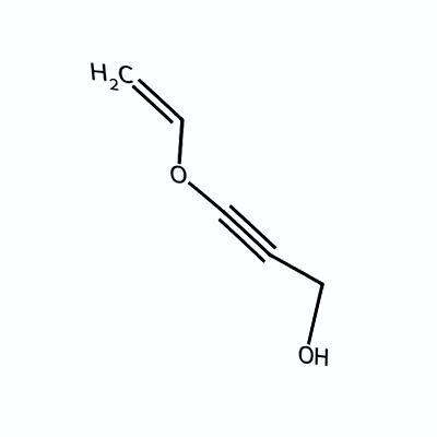 C=COC#CCO